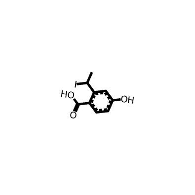 CC(I)c1cc(O)ccc1C(=O)O